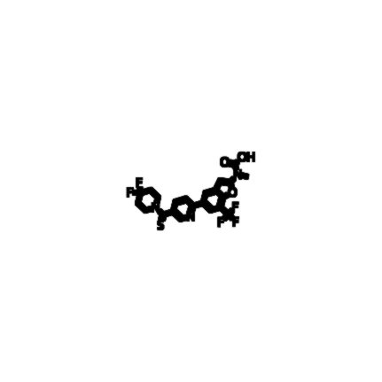 CN(C(=O)O)c1cc2cc(-c3ccc(C(=S)N4CCC(F)(F)CC4)cn3)cc(C(F)(F)F)c2o1